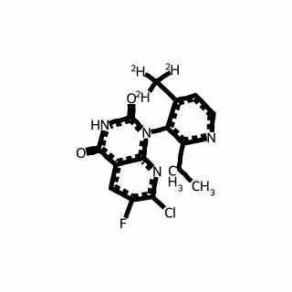 [2H]C([2H])([2H])c1ccnc(C(C)C)c1-n1c(=O)[nH]c(=O)c2cc(F)c(Cl)nc21